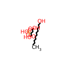 CCCCCCCCCCCCCO.O=C(O)CC(C(=O)O)S(=O)(=O)O